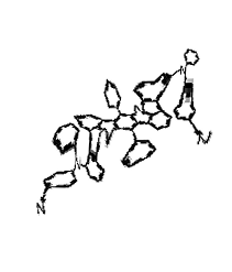 N#Cc1ccc(N(c2ccccc2)c2cccc3c2c2cccc4c5c(-c6ccccc6)c6c(c(-c7ccccc7)c5n3c24)c2cccc3c4c(N(c5ccccc5)c5ccc(C#N)cc5)cccc4n6c32)cc1